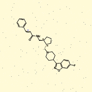 O=C(/C=C/c1ccccc1)NC[C@H]1CCC[C@@H]1CN1CCC(c2noc3cc(F)ccc23)CC1